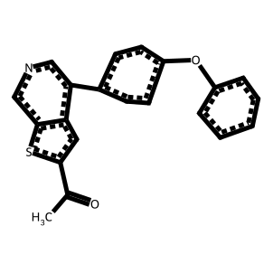 CC(=O)c1cc2c(-c3ccc(Oc4ccccc4)cc3)cncc2s1